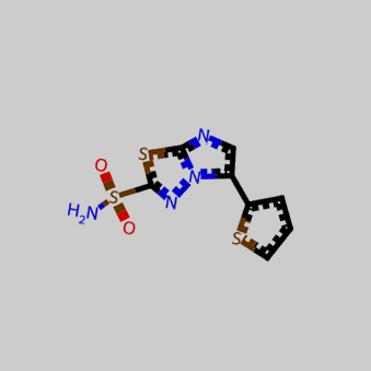 NS(=O)(=O)c1nn2c(-c3cccs3)cnc2s1